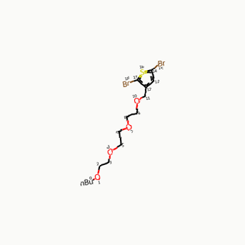 CCCCOCCOCCOCCOCc1cc(Br)sc1Br